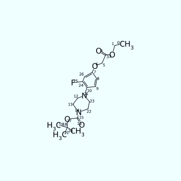 CCOC(=O)COc1ccc(N2CCN(C(=O)OC(C)(C)C)CC2)c(F)c1